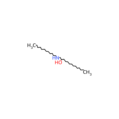 CCCCCCCCCCCCNCC(O)CCCCCCCCCCCC